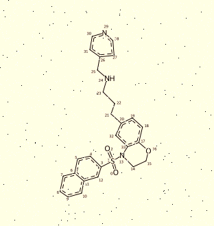 O=S(=O)(c1ccc2ccccc2c1)N1CCOc2ccc(CCCNCc3ccncc3)cc21